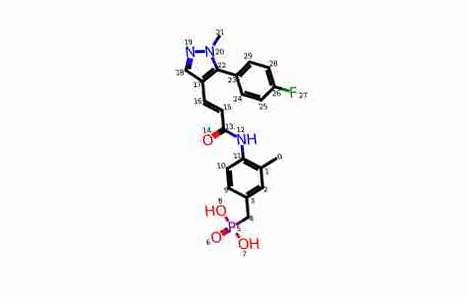 Cc1cc(CP(=O)(O)O)ccc1NC(=O)C=Cc1cnn(C)c1-c1ccc(F)cc1